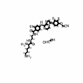 CCc1cc(Nc2nccn3c(-c4ccc(OCC#N)c(F)c4F)cnc23)ccc1C(=O)NCCNC(=O)[C@@H](N)CCCCN.O=CO